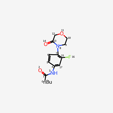 CCCCC(=O)Nc1ccc(N2CCOCC2=O)c(F)c1